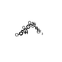 O=C(NC1CCN(C(=O)c2nnc(C3CC(OC(F)(F)F)C3)o2)CC1)c1cc2cc(Cl)ccc2[nH]1